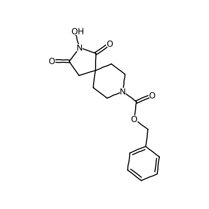 O=C(OCc1ccccc1)N1CCC2(CC1)CC(=O)N(O)C2=O